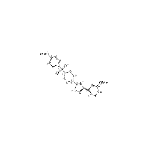 COc1ccc(S(=O)(=O)N2CCN(c3nc(-c4cccc(OC)c4)cs3)CC2)cc1